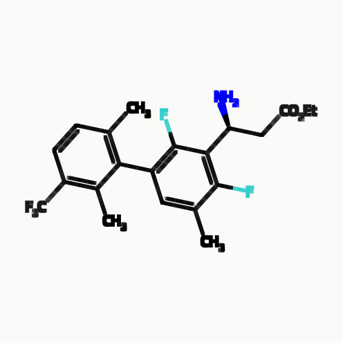 CCOC(=O)C[C@H](N)c1c(F)c(C)cc(-c2c(C)ccc(C(F)(F)F)c2C)c1F